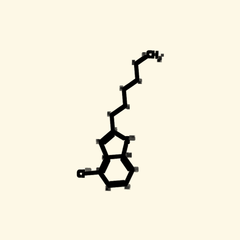 [CH2]CCCCCc1cc2c(Cl)cccc2s1